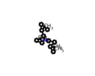 CC1(C)c2ccccc2-c2cccc(-c3ccccc3-c3ccc(N(c4ccc(-c5ccc6c(c5)C(C)(c5ccccc5)c5ccccc5-6)cc4)c4cccc5c4C(C)(C)c4ccccc4-5)cc3)c21